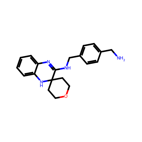 NCc1ccc(CNC2=Nc3ccccc3NC23CCOCC3)cc1